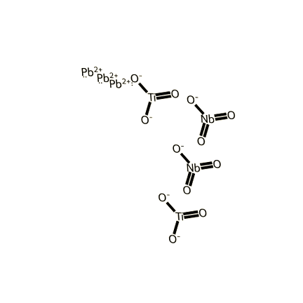 [O]=[Nb](=[O])[O-].[O]=[Nb](=[O])[O-].[O]=[Ti]([O-])[O-].[O]=[Ti]([O-])[O-].[Pb+2].[Pb+2].[Pb+2]